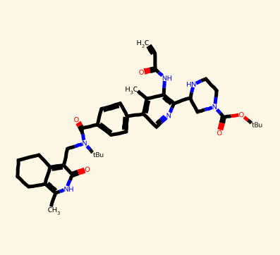 C=CC(=O)Nc1c(C2CN(C(=O)OC(C)(C)C)CCN2)ncc(-c2ccc(C(=O)N(Cc3c4c(c(C)[nH]c3=O)CCCC4)C(C)(C)C)cc2)c1C